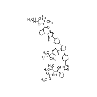 CNC(=O)O[C@H](C(=O)N1CCC[C@H]1c1nnc(-c2ccc([C@@H]3CC[C@@H](c4ccc(-c5nnc([C@@H]6CCCN6C(=O)[C@@H](NC(=O)OC)C(C)C)[nH]5)cc4)N3c3ccc(C(C)(C)C)cc3)cc2)[nH]1)C(C)C